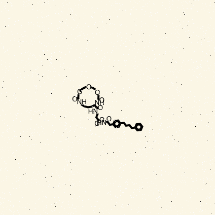 O=C1COCCOCCOCC(=O)NC(C(=O)NCCC(=O)ONC(=O)Cc2ccc(CCCCc3ccccc3)cc2)CCCCN1